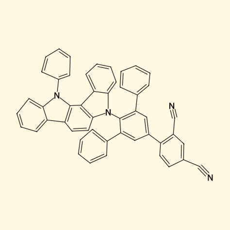 N#Cc1ccc(-c2cc(-c3ccccc3)c(-n3c4ccccc4c4c3ccc3c5ccccc5n(-c5ccccc5)c34)c(-c3ccccc3)c2)c(C#N)c1